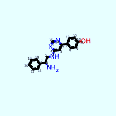 NC(CNc1cc(-c2ccc(O)cc2)ncn1)c1ccccc1